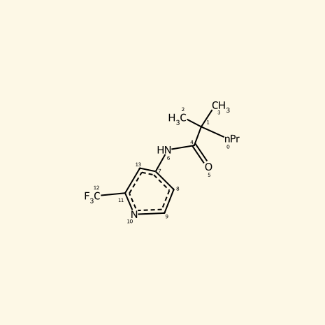 CCCC(C)(C)C(=O)Nc1ccnc(C(F)(F)F)c1